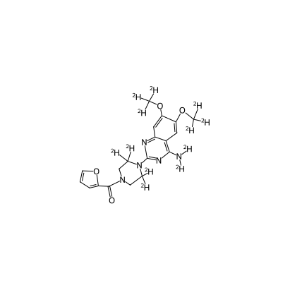 [2H]N([2H])c1nc(N2C([2H])([2H])CN(C(=O)c3ccco3)CC2([2H])[2H])nc2cc(OC([2H])([2H])[2H])c(OC([2H])([2H])[2H])cc12